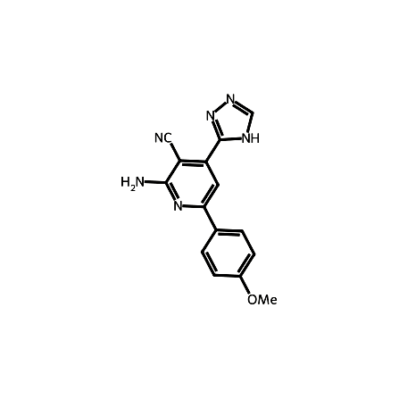 COc1ccc(-c2cc(-c3nnc[nH]3)c(C#N)c(N)n2)cc1